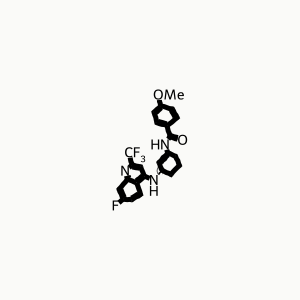 COc1ccc(C(=O)NC2=C[C@@H](Nc3cc(C(F)(F)F)nc4cc(F)ccc34)CCC2)cc1